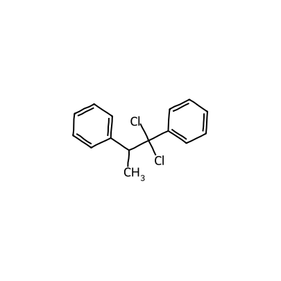 CC(c1ccccc1)C(Cl)(Cl)c1ccccc1